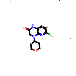 O=C1CN(C2CCOCC2)c2nc(Cl)ccc2N1